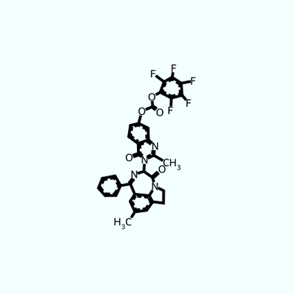 Cc1cc2c3c(c1)C(c1ccccc1)=NC(n1c(C)nc4cc(OC(=O)Oc5c(F)c(F)c(F)c(F)c5F)ccc4c1=O)C(=O)N3CC2